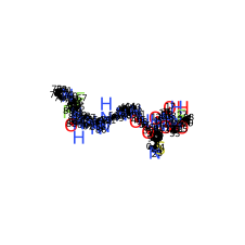 Cc1ncsc1-c1ccc(CNC(=O)[C@@H]2C[C@@H](O)CN2C(=O)[C@@H](NC(=O)C2(F)CC2)C(C)(C)C)c(OCCNC(=O)CN2CC[C@@]3(CCN(CCCNc4cc(N5CCC6(CC5)CN(c5cc(F)c(CN7CCC(C)(C)CC7)cc5F)CC(=O)N6)ncn4)C3)C2)c1